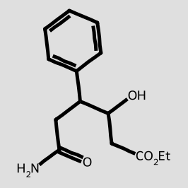 CCOC(=O)CC(O)C(CC(N)=O)c1ccccc1